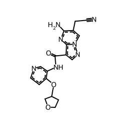 N#CCc1cn2ncc(C(=O)Nc3cnccc3OC3CCOC3)c2nc1N